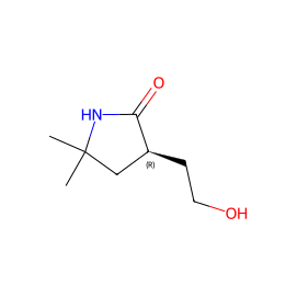 CC1(C)C[C@H](CCO)C(=O)N1